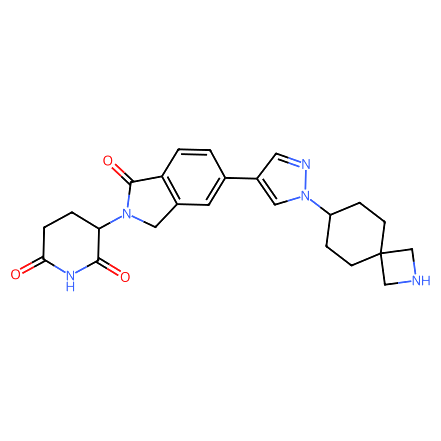 O=C1CCC(N2Cc3cc(-c4cnn(C5CCC6(CC5)CNC6)c4)ccc3C2=O)C(=O)N1